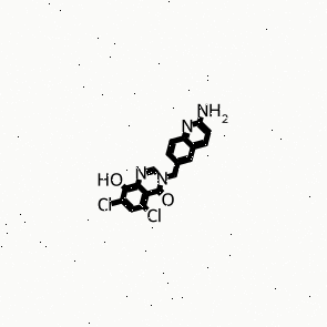 Nc1ccc2cc(Cn3cnc4c(O)c(Cl)cc(Cl)c4c3=O)ccc2n1